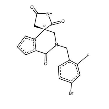 O=C1C[C@]2(CN(Cc3ccc(Br)cc3F)C(=O)c3cccn32)C(=O)N1